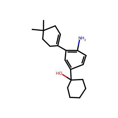 CC1(C)CC=C(c2cc(C3(O)CCCCC3)ccc2N)CC1